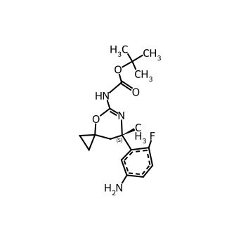 CC(C)(C)OC(=O)NC1=N[C@](C)(c2cc(N)ccc2F)CC2(CC2)O1